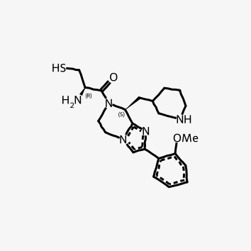 COc1ccccc1-c1cn2c(n1)[C@H](CC1CCCNC1)N(C(=O)[C@@H](N)CS)CC2